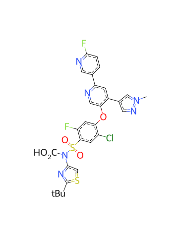 Cn1cc(-c2cc(-c3ccc(F)nc3)ncc2Oc2cc(F)c(S(=O)(=O)N(C(=O)O)c3csc(C(C)(C)C)n3)cc2Cl)cn1